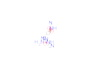 CN(C)CCNS(=O)(=O)c1ccc(-c2cnc(N)c(C(=O)Nc3cccnc3)n2)cc1